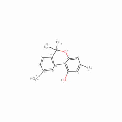 CC(C)(C)c1cc(O)c2c(c1)OC(C)(C)c1ccc(C(=O)O)cc1-2